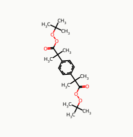 CC(C)(C)OOC(=O)C(C)(C)c1ccc(C(C)(C)C(=O)OOC(C)(C)C)cc1